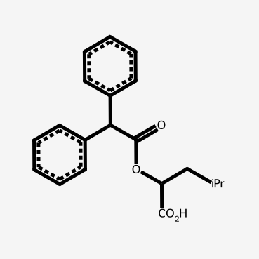 CC(C)CC(OC(=O)C(c1ccccc1)c1ccccc1)C(=O)O